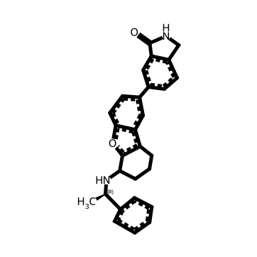 C[C@@H](NC1CCCc2c1oc1ccc(-c3ccc4c(c3)C(=O)NC4)cc21)c1ccccc1